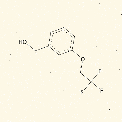 O[CH]c1cccc(OCC(F)(F)F)c1